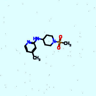 Cc1ccnc(NC2CCN(S(C)(=O)=O)CC2)c1